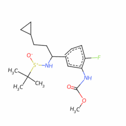 COC(=O)Nc1cc(C(CCC2CC2)N[S+]([O-])C(C)(C)C)ccc1F